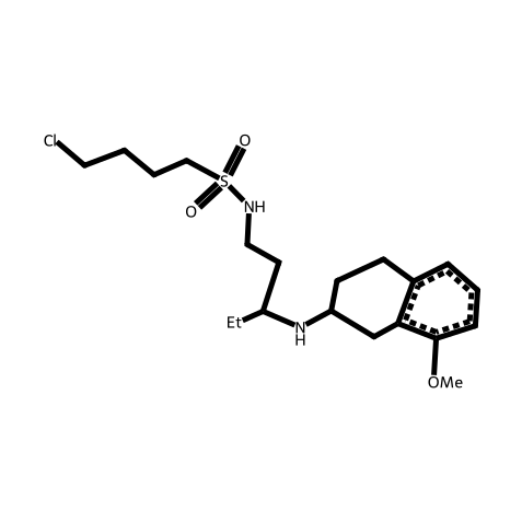 CCC(CCNS(=O)(=O)CCCCCl)NC1CCc2cccc(OC)c2C1